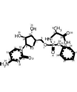 C[C@H](N[P@](=O)(OC[C@H]1S[C@@H](n2ccc(N)nc2=O)[C@@H](O)[C@@H]1O)Oc1ccccc1)C(=O)O